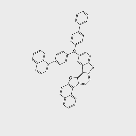 c1ccc(-c2ccc(N(c3ccc(-c4cccc5ccccc45)cc3)c3ccc4sc5ccc6c(oc7ccc8ccccc8c76)c5c4c3)cc2)cc1